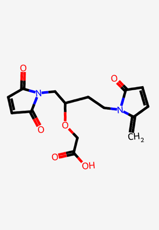 C=C1C=CC(=O)N1CCC(CN1C(=O)C=CC1=O)OCC(=O)O